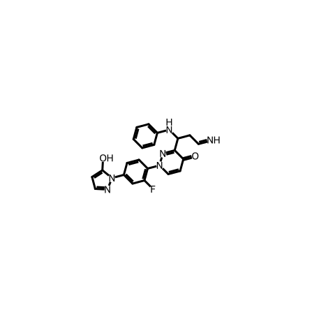 N=CCC(Nc1ccccc1)c1nn(-c2ccc(-n3nccc3O)cc2F)ccc1=O